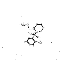 CC(=O)OOCC1CCCCN1S(=O)(=O)c1ccccc1C(F)(F)F